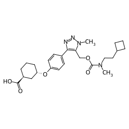 CN(CCC1CCC1)C(=O)OCc1c(-c2ccc(O[C@H]3CCC[C@H](C(=O)O)C3)cc2)nnn1C